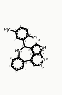 Cc1ccc(C)c(C2Nc3ccccc3-c3cnnc4[nH]cc2c34)c1